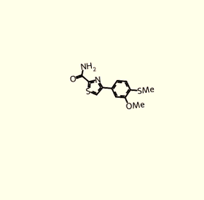 COc1cc(-c2csc(C(N)=O)n2)ccc1SC